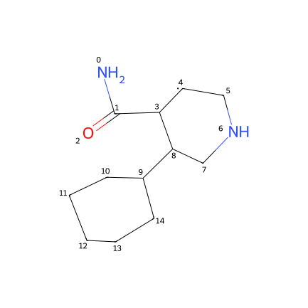 NC(=O)C1[CH]CNCC1C1CCCCC1